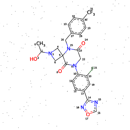 CC(O)N1CC2(C1)C(=O)N(c1ccc(-c3ncon3)cc1F)CC(=O)N2Cc1ccc(C(F)(F)F)cc1